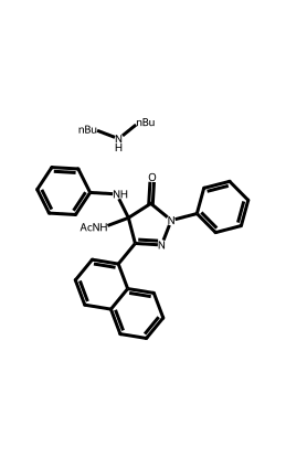 CC(=O)NC1(Nc2ccccc2)C(=O)N(c2ccccc2)N=C1c1cccc2ccccc12.CCCCNCCCC